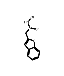 [O-][S+](Cc1cc2ccccc2o1)NO